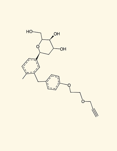 C#CCOCCOc1ccc(Cc2cc([C@@H]3CC(O)[C@H](O)C(CO)O3)ccc2C)cc1